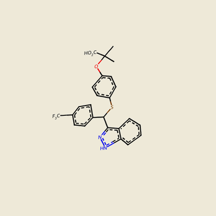 CC(C)(Oc1ccc(SC(c2ccc(C(F)(F)F)cc2)c2n[nH]c3ccccc23)cc1)C(=O)O